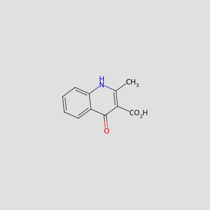 Cc1[nH]c2ccccc2c(=O)c1C(=O)O